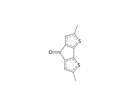 Cc1cc2c(s1)-c1sc(C)cc1C2=O